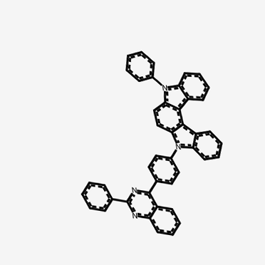 c1ccc(-c2nc(-c3ccc(-n4c5ccccc5c5c6c7ccccc7n(-c7ccccc7)c6ccc54)cc3)c3ccccc3n2)cc1